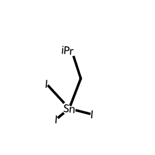 CC(C)[CH2][Sn]([I])([I])[I]